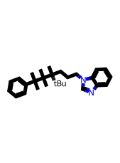 CC(C)(C)C(C)(CCCn1cnc2ccccc21)C(C)(C)C(C)(C)c1ccccc1